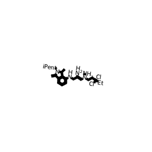 C=C1c2cccc(NC/C(N)=C/N(N)CCC(Cl)(Cl)CC)c2C(C)N1C(C)CCC